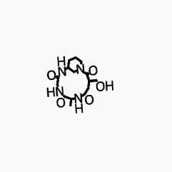 CC1NC(=O)CC(CO)C(=O)N2CCCC(C2)NC(=O)CNC1=O